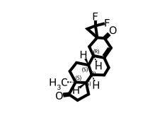 C[C@]12CC[C@H]3[C@@H](CCC4=CC(=O)C5(C[C@@H]43)CC5(F)F)[C@@H]1CCC2=O